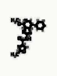 COc1ncc(-c2ccccc2)c2sc(NC(=O)c3coc(C)n3)nc12